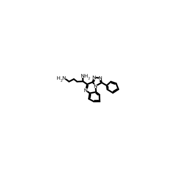 NCCCC(N)c1nc2ccccc2n2c(-c3ccccc3)nnc12